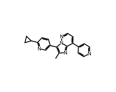 Cc1nc2c(-c3ccncc3)ccnn2c1-c1ccc(C2CC2)nc1